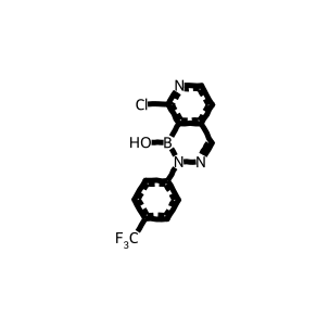 OB1c2c(ccnc2Cl)C=NN1c1ccc(C(F)(F)F)cc1